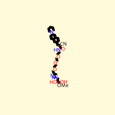 CO/C(O)=C(\O)Cn1cc(COCCOCCOCCNC(=O)/C(C#N)=C/c2ccc3cc(N4CCCCC4)ccc3c2)nn1